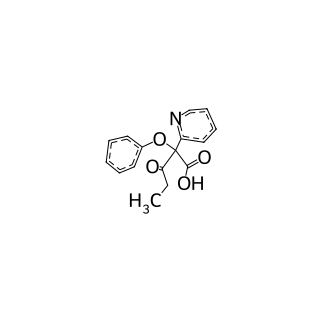 CCC(=O)C(Oc1ccccc1)(C(=O)O)c1ccccn1